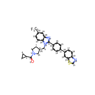 O=C(C1CC1)N1CC[C@@H](Cn2c(-c3ccc(-c4ccc5ncsc5c4)cc3)nc3cc(C(F)(F)F)ccc32)C1